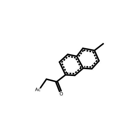 CC(=O)CC(=O)c1ccc2cc(C)ccc2c1